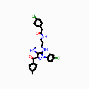 CNc1c(C(=O)c2ccc(C)cc2)nn(-c2ccc(Cl)cc2)c1NCCCNC(=O)Cc1ccc(Cl)cc1